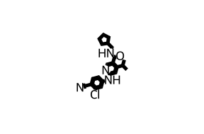 CC(C)c1cc(Nc2ccc(C#N)c(Cl)c2)ncc1C(=O)NCC1CCCC1